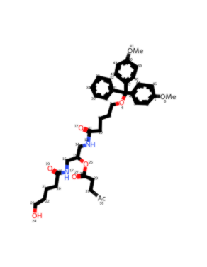 COc1ccc(C(OCCCCC(=O)NCC(CNC(=O)CCCCO)OC(=O)CCC(C)=O)(c2ccccc2)c2ccc(OC)cc2)cc1